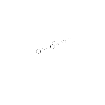 O=C(O)CCNCC(=O)N1CCc2cc(OCC=Cc3ccc(C(F)(F)F)cc3C(F)(F)F)ccc21